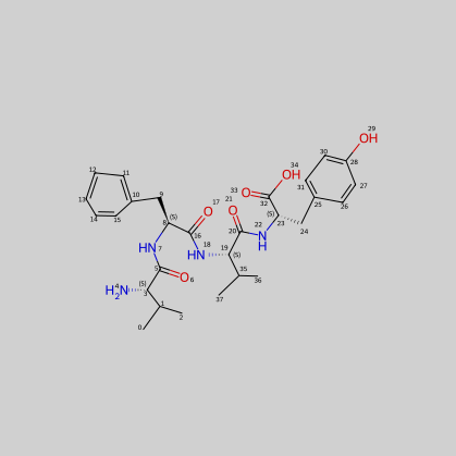 CC(C)[C@H](N)C(=O)N[C@@H](Cc1ccccc1)C(=O)N[C@H](C(=O)N[C@@H](Cc1ccc(O)cc1)C(=O)O)C(C)C